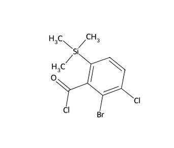 C[Si](C)(C)c1ccc(Cl)c(Br)c1C(=O)Cl